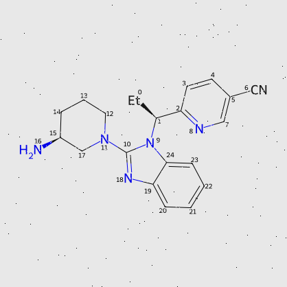 CC[C@@H](c1ccc(C#N)cn1)n1c(N2CCC[C@H](N)C2)nc2ccccc21